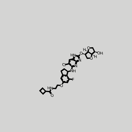 O=C(NCCOc1cc(F)c2c(c1)CCC2Nc1nc2nc(O[C@@H]3CO[C@H]4[C@@H]3OC[C@H]4O)[nH]c2cc1Cl)C1CCC1